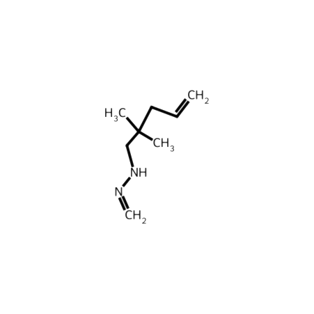 C=CCC(C)(C)CNN=C